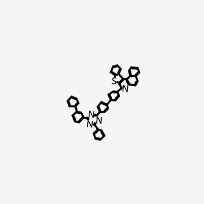 c1ccc(-c2cccc(-c3nc(-c4ccccc4)nc(-c4ccc(-c5ccc(-c6nc7ccc8ccccc8c7c7c6sc6ccccc67)cc5)cc4)n3)c2)cc1